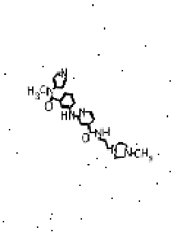 CN1CCN(CCCNC(=O)c2ccnc(Nc3cccc(C(=O)N(C)c4ccncc4)c3)c2)CC1